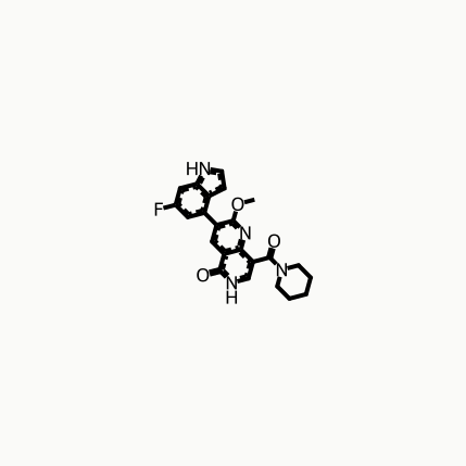 COc1nc2c(C(=O)N3CCCCC3)c[nH]c(=O)c2cc1-c1cc(F)cc2[nH]ccc12